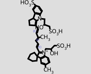 CC(/C=C/C1=C2C(CC1)c1cc(S(=O)(=O)O)ccc1N2CC(O)CS(=O)(=O)O)=C\C=C\C1=[N+](CC(O)CS(=O)(=O)O)c2ccc(C)cc2C12CCCCC2